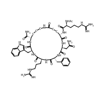 CC(=O)N[C@@H](CCCNC(=N)N)C(=O)N[C@H]1CCC(=O)NCCC[C@@H](C(N)=O)NC(=O)[C@H](Cc2c[nH]c3ccccc23)NC(=O)[C@H](CCCNC(=N)N)NC(=O)[C@@H](Cc2ccccc2)NC(=O)[C@H](CC(N)=O)NC1=O